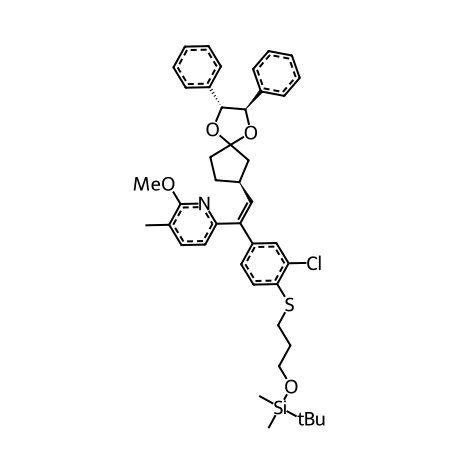 COc1nc(/C(=C\[C@H]2CCC3(C2)O[C@H](c2ccccc2)[C@@H](c2ccccc2)O3)c2ccc(SCCCO[Si](C)(C)C(C)(C)C)c(Cl)c2)ccc1C